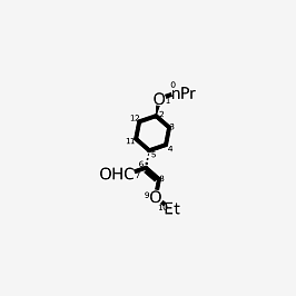 CCCO[C@H]1CC[C@H](C(C=O)=COCC)CC1